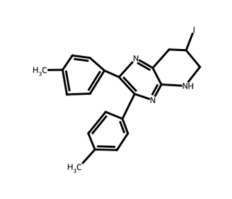 Cc1ccc(-c2nc3c(nc2-c2ccc(C)cc2)NCC(I)C3)cc1